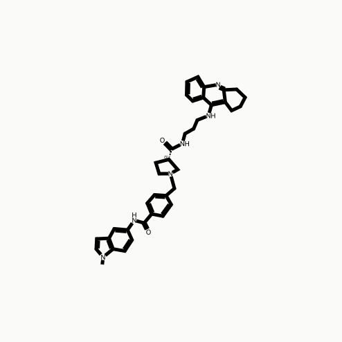 Cn1ccc2cc(NC(=O)c3ccc(CN4CC[C@H](C(=O)NCCCNc5c6c(nc7ccccc57)CCCC6)C4)cc3)ccc21